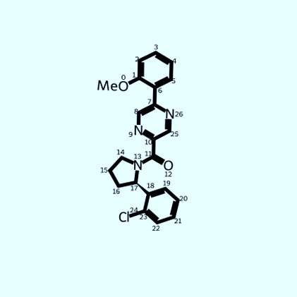 COc1ccccc1-c1cnc(C(=O)N2CCC[C@@H]2c2ccccc2Cl)cn1